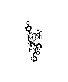 O=C(CC1CCCO1)Nc1ncccc1-n1cnc(Cn2nc(-c3ccc(Cl)cc3)n(C[C@H](O)C(F)(F)F)c2=O)n1